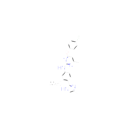 COc1cc(Nc2nc(C)cc(Oc3ccc(F)cc3)n2)ccc1-c1nc(C)c[nH]1